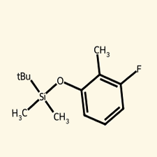 Cc1c(F)cccc1O[Si](C)(C)C(C)(C)C